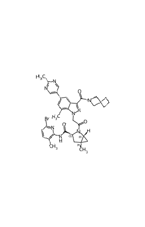 Cc1ncc(-c2cc(C)c3c(c2)c(C(=O)N2CC4(CCC4)C2)nn3CC(=O)N2[C@H](C(=O)Nc3nc(Br)ccc3C)C[C@@]3(C)C[C@@H]23)cn1